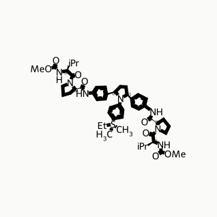 CCS(C)(C)c1ccc(N2[C@@H](c3ccc(NC(=O)[C@@H]4CCCN4C(=O)[C@@H](NC(=O)OC)C(C)C)cc3)CC[C@H]2c2ccc(NC(=O)[C@@H]3CCCN3C(=O)[C@@H](NC(=O)OC)C(C)C)cc2)cc1